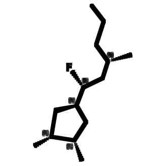 CCC[C@H](C)C[C@@H](F)[C@@H]1C[C@@H](C)[C@@H](C)C1